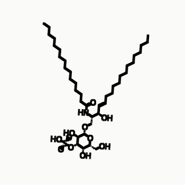 CCCCCCCCCCCCC/C=C/[C@@H](O)[C@H](CO[C@@H]1O[C@H](CO)[C@H](O)[C@H](OS(=O)(=O)O)[C@H]1O)NC(=O)CCCCCCCCCCCCCCC